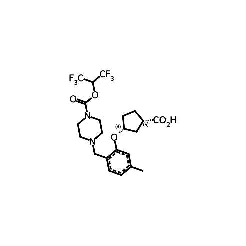 Cc1ccc(CN2CCN(C(=O)OC(C(F)(F)F)C(F)(F)F)CC2)c(O[C@@H]2CC[C@H](C(=O)O)C2)c1